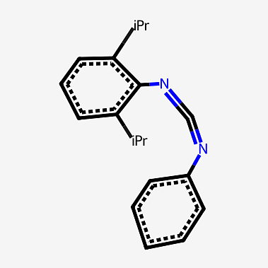 CC(C)c1cccc(C(C)C)c1N=C=Nc1ccccc1